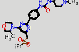 CC(C)S(=O)(=O)Cc1cc(N2CCOC[C@@H]2C)nc(-c2ccc(NC(=O)NC3CCN(C)CC3)cc2)n1